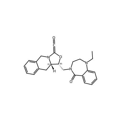 CCN1CCN(C[C@H]2OC(=C=O)N3Cc4ccccc4C[C@@H]23)C(=O)c2ccccc21